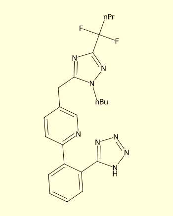 CCCCn1nc(C(F)(F)CCC)nc1Cc1ccc(-c2ccccc2-c2nnn[nH]2)nc1